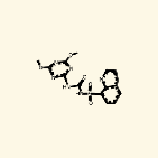 COc1nc(NC(=O)NS(=O)(=O)c2cccc3cccnc23)nc(OC)n1